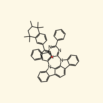 CC1CC(C)(C)c2cc(-c3ccc(-n4c5ccccc5c5ccc6c7ccccc7n(-c7nc(-c8ccccc8)nc(-c8ccccc8)n7)c6c54)cc3)ccc2C1(C)C